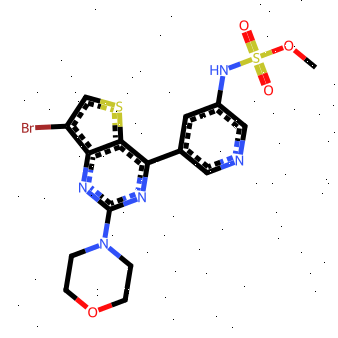 COS(=O)(=O)Nc1cncc(-c2nc(N3CCOCC3)nc3c(Br)csc23)c1